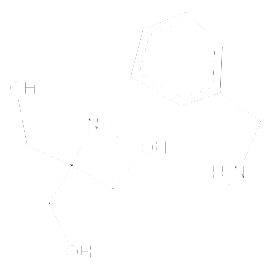 NC(CO)(CO)CO.NCc1ccccc1